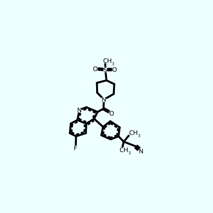 CC(C)(C#N)c1ccc(-c2c(C(=O)N3CCC(S(C)(=O)=O)CC3)cnc3ccc(F)cc23)cc1